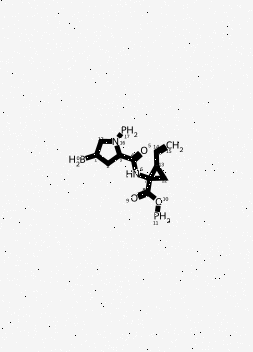 BC1CC(C(=O)NC2(C(=O)OP)CC2C=C)N(P)C1